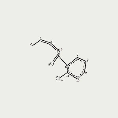 CC=C=NC(=O)c1ccccc1Cl